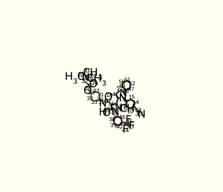 Cn1c(-c2ccnn2-c2ccc(C#N)cc2)c(C(=O)N[C@H]2CC[C@H](OC(=O)C[N+](C)(C)C)CC2)c(=O)n1-c1cccc(C(F)(F)F)c1.c1ccccc1